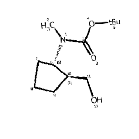 CN(C(=O)OC(C)(C)C)[C@H]1CCC[C@@H]1CO